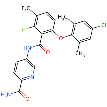 Cc1cc(Cl)cc(C)c1Oc1ccc(C(F)(F)F)c(F)c1C(=O)Nc1ccc(C(N)=O)nc1